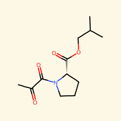 CC(=O)C(=O)N1CCC[C@H]1C(=O)OCC(C)C